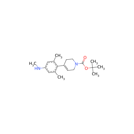 CNc1cc(C)c(C2=CCN(C(=O)OC(C)(C)C)CC2)c(C)c1